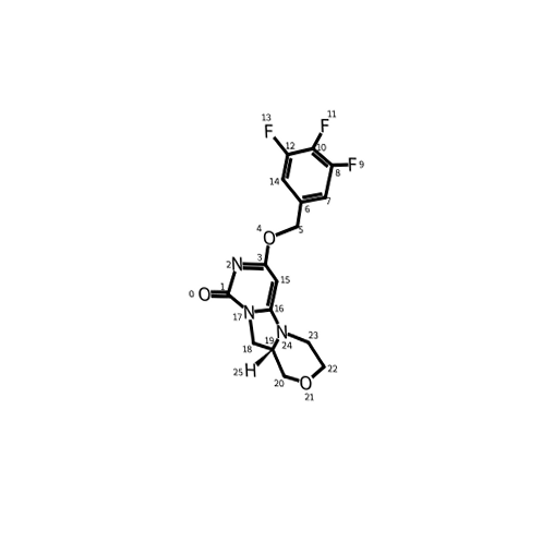 O=c1nc(OCc2cc(F)c(F)c(F)c2)cc2n1C[C@H]1COCCN21